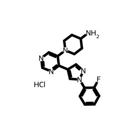 Cl.NC1CCN(c2cncnc2-c2cnn(-c3ccccc3F)c2)CC1